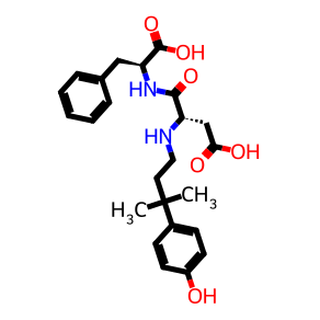 CC(C)(CCN[C@@H](CC(=O)O)C(=O)N[C@@H](Cc1ccccc1)C(=O)O)c1ccc(O)cc1